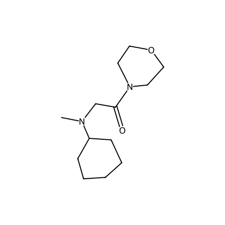 CN(CC(=O)N1CCOCC1)C1CCCCC1